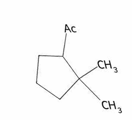 CC(=O)C1CCCC1(C)C